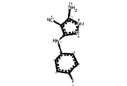 N#Cc1c(Nc2ccc(F)cc2)n[nH]c1N